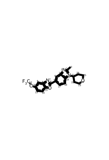 Cc1nc2cc(-c3nc4cc(OC(F)(F)F)ccc4o3)ccc2n1C1CCOCC1